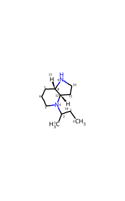 CCC(C)N1CCC[C@@H]2NCC[C@@H]21